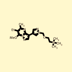 CCc1c(C)nc2c(-c3cnn(COCC[Si](C)(C)C)c3)cnn2c1OC